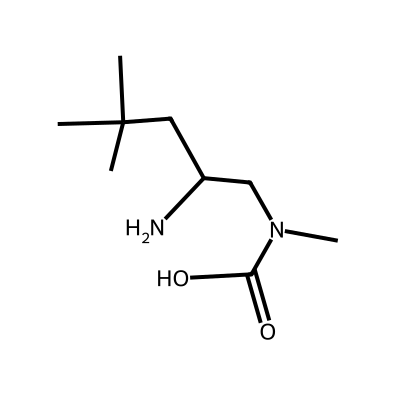 CN(CC(N)CC(C)(C)C)C(=O)O